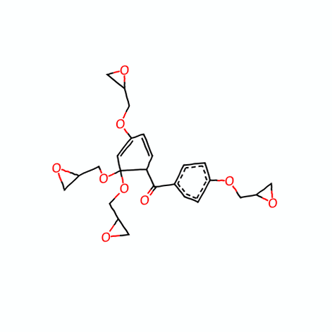 O=C(c1ccc(OCC2CO2)cc1)C1C=CC(OCC2CO2)=CC1(OCC1CO1)OCC1CO1